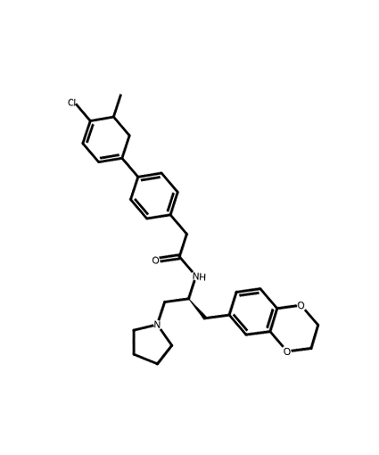 CC1CC(c2ccc(CC(=O)N[C@@H](Cc3ccc4c(c3)OCCO4)CN3CCCC3)cc2)=CC=C1Cl